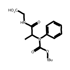 CC(C(=O)NCC(=O)O)N(C(=O)OC(C)(C)C)c1ccccc1